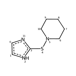 c1c[nH]c(SN2CCCCC2)n1